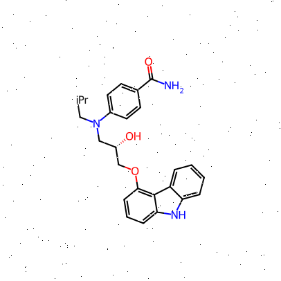 CC(C)CN(C[C@H](O)COc1cccc2[nH]c3ccccc3c12)c1ccc(C(N)=O)cc1